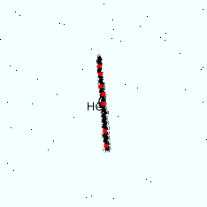 CCCCCC=CCC=CCCCCCCCCOCC(O)CCCCCCCCC=CCC=CCCCCC